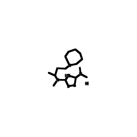 CC(CCN1CCCCCC1)N(C)C1NC(N(C)C)SS1.I